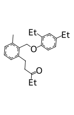 CCC(=O)CCc1cccc(C)c1COc1ccc(CC)cc1CC